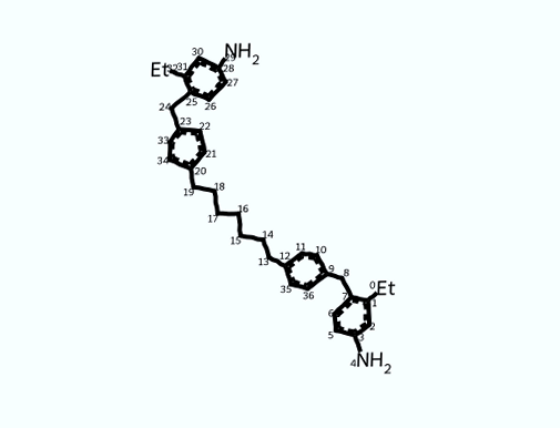 CCc1cc(N)ccc1Cc1ccc(CCCCCCCc2ccc(Cc3ccc(N)cc3CC)cc2)cc1